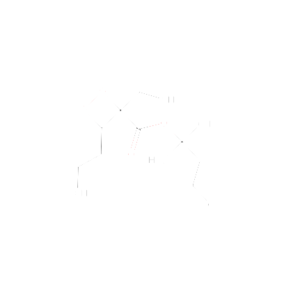 CCCC1OOC1(CC)C(=O)OC(C)(C)CCC